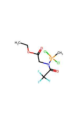 CCOC(=O)CN(C(=O)C(F)(F)F)[PH](C)(Cl)Cl